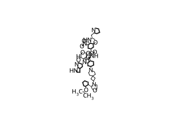 CC(C)Oc1ccccc1[C@@H]1COCCN1C1CC2(CCN(c3ccc(C(=O)NS(=O)(=O)c4cc5c(c([N+](=O)[O-])c4)N[C@@H](Cc4ccccn4)CO5)c(N4c5cc6cc[nH]c6nc5O[C@H]5COCC[C@@H]54)c3)CC2)C1